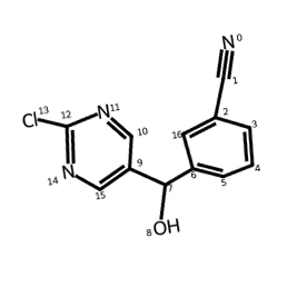 N#Cc1cccc(C(O)c2cnc(Cl)nc2)c1